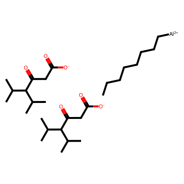 CC(C)C(C(=O)CC(=O)[O-])C(C)C.CC(C)C(C(=O)CC(=O)[O-])C(C)C.CCCCCCC[CH2][Al+2]